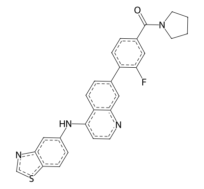 O=C(c1ccc(-c2ccc3c(Nc4ccc5scnc5c4)ccnc3c2)c(F)c1)N1CCCC1